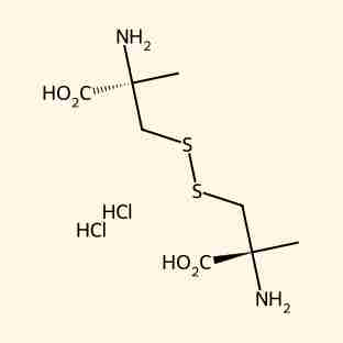 C[C@](N)(CSSC[C@](C)(N)C(=O)O)C(=O)O.Cl.Cl